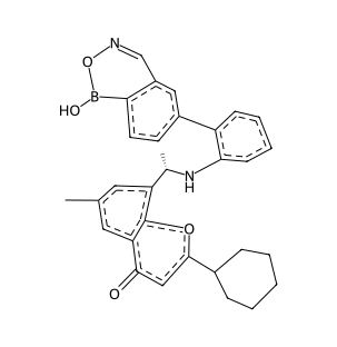 Cc1cc([C@H](C)Nc2ccccc2-c2ccc3c(c2)C=NOB3O)c2oc(C3CCCCC3)cc(=O)c2c1